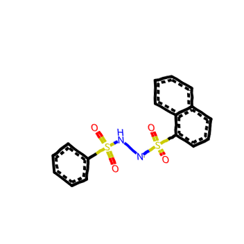 O=S(=O)([N]NS(=O)(=O)c1ccccc1)c1cccc2ccccc12